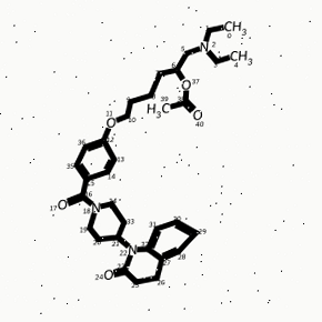 CCN(CC)CC(CCCCOc1ccc(C(=O)N2CCC(N3C(=O)CCc4ccccc43)CC2)cc1)OC(C)=O